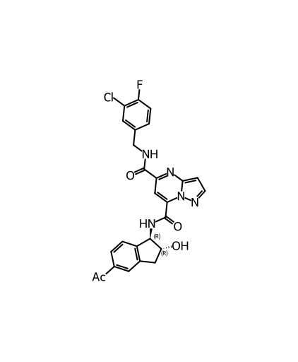 CC(=O)c1ccc2c(c1)C[C@@H](O)[C@@H]2NC(=O)c1cc(C(=O)NCc2ccc(F)c(Cl)c2)nc2ccnn12